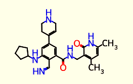 Cc1cc(C)c(CNC(=O)c2cc(C3=CCNCC3)cc(NC3CCCC3)c2C=N)c(=O)[nH]1